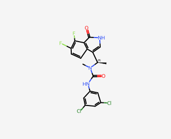 C[C@H](c1c[nH]c(=O)c2c(F)c(F)ccc12)N(C)C(=O)Nc1cc(Cl)cc(Cl)c1